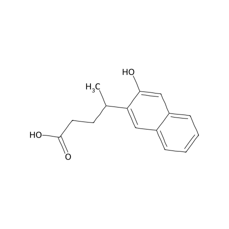 CC(CCC(=O)O)c1cc2ccccc2cc1O